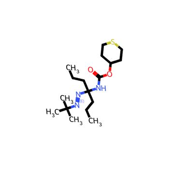 CCCC(CCC)(/N=N/C(C)(C)C)NC(=O)OC1CCSCC1